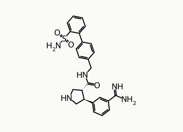 N=C(N)c1cccc([C@H]2CNC[C@@H]2C(=O)NCc2ccc(-c3ccccc3S(N)(=O)=O)cc2)c1